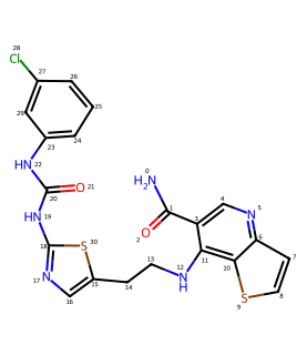 NC(=O)c1cnc2ccsc2c1NCCc1cnc(NC(=O)Nc2cccc(Cl)c2)s1